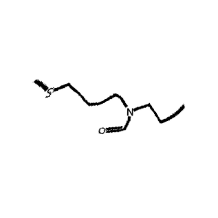 CCCN(C=O)CCCSC